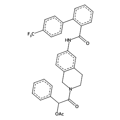 CC(=O)OC(C(=O)N1CCc2cc(NC(=O)c3ccccc3-c3ccc(C(F)(F)F)cc3)ccc2C1)c1ccccc1